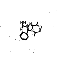 CC1OCC(C)n2c1nc1c(N)nc3ccccc3c12